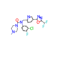 CN1CCN(C(=O)N(Cc2ccc(-c3nnc(C(F)F)o3)cn2)c2ccc(F)c(Cl)c2)CC1